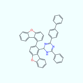 c1ccc(C2=NC(c3ccc(-c4ccccc4)cc3)=NC(c3c(-c4cccc5oc6ccccc6c45)ccc4oc5ccccc5c34)N2)cc1